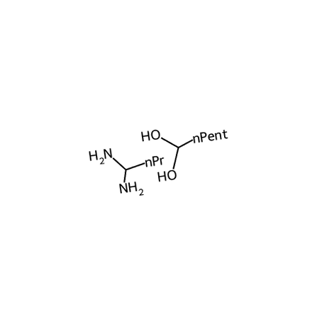 CCCC(N)N.CCCCCC(O)O